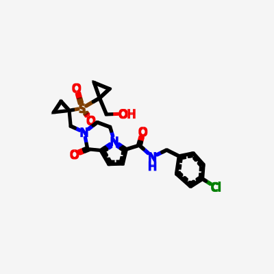 O=C(NCc1ccc(Cl)cc1)c1ccc2n1CCN(CC1(S(=O)(=O)C3(CO)CC3)CC1)C2=O